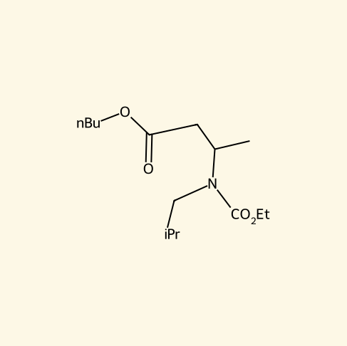 CCCCOC(=O)CC(C)N(CC(C)C)C(=O)OCC